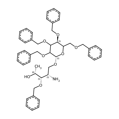 C[C@@H](O)[C@@H](OCc1ccccc1)[C@@H](N)CO[C@H]1OC(COCc2ccccc2)[C@H](OCc2ccccc2)C(OCc2ccccc2)C1OCc1ccccc1